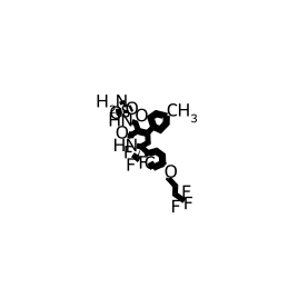 Cc1ccc(C2=C(C(=O)NS(N)(=O)=O)C(=O)N[C@@](c3ccc(OCCCC(F)(F)F)cc3)(C(F)(F)F)C2)cc1